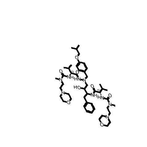 CC(C)COc1ccc(CN(CC(O)C(Cc2ccccc2)NC(=O)[C@@H](NC(=O)N(C)CCN2CCOCC2)C(C)C)NC(=O)[C@@H](NC(=O)N(C)CCN2CCOCC2)C(C)C)cc1